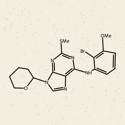 COc1cccc(Nc2nc(SC)nc3c2ncn3C2CCCCO2)c1Br